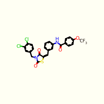 O=C(Nc1cccc(C=C2SC(=O)N(Cc3ccc(Cl)c(Cl)c3)C2=O)c1)c1ccc(OC(F)(F)F)cc1